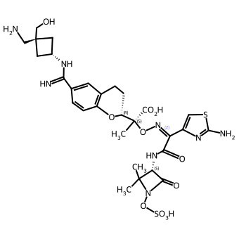 CC1(C)[C@H](NC(=O)/C(=N\O[C@](C)(C(=O)O)[C@H]2CCc3cc(C(=N)N[C@H]4C[C@@](CN)(CO)C4)ccc3O2)c2csc(N)n2)C(=O)N1OS(=O)(=O)O